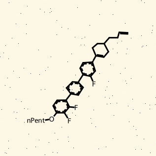 C=CCCC1CC=C(c2ccc(-c3ccc(-c4ccc(OCCCCC)c(F)c4F)cc3)c(F)c2)CC1